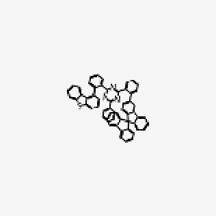 c1ccc(-c2nc(-c3ccccc3-c3ccc4c(c3)-c3ccccc3C43c4ccccc4-c4ccccc43)nc(-c3ccccc3-c3cccc4sc5ccccc5c34)n2)cc1